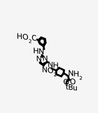 CC(C)(C)OC(=O)C(N)C1CCC(CNc2nc(NCc3cccc(C(=O)O)c3)ncc2[N+](=O)[O-])CC1